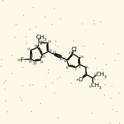 CC(C)C(=O)Cc1ccc(C#Cc2cn(C)c3cc(F)ccc23)c(Cl)c1